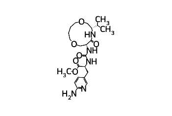 COC(=O)[C@H](Cc1ccc(N)nc1)NC(=O)N[C@@H]1COCCCCOC[C@H](C(C)C)NC1=O